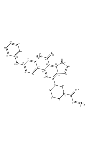 C=CC(=O)N1CCCC(c2nc(-c3ccc(Oc4ccccc4)cc3)c(C(N)=O)c3[nH]ccc23)C1